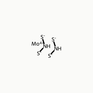 [Mo+4].[S-]N[S-].[S-]N[S-]